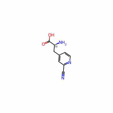 N#Cc1cc(C[C@H](N)C(=O)O)ccn1